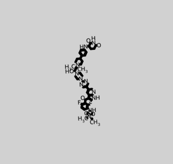 CCN(C)S(=O)(=O)Nc1ccc(F)c(C(=O)c2c[nH]c3ncc(-c4cnc(N5CCN(C(O)C(C)(C)N6CCC(c7ccc(NC8CCC(=O)NC8=O)cc7)CC6)CC5)nc4)cc23)c1F